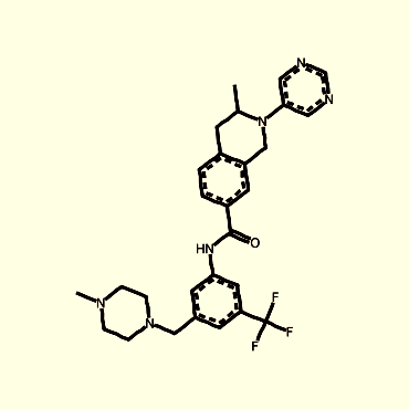 CC1Cc2ccc(C(=O)Nc3cc(CN4CCN(C)CC4)cc(C(F)(F)F)c3)cc2CN1c1cncnc1